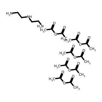 CC(=O)OC(C)=O.CC(=O)OC(C)=O.CC(=O)OC(C)=O.CC(=O)OC(C)=O.CC(=O)OC(C)=O.NCCNCCN